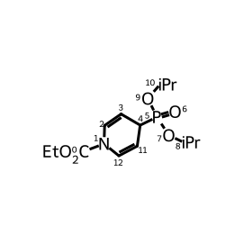 CCOC(=O)N1C=CC(P(=O)(OC(C)C)OC(C)C)C=C1